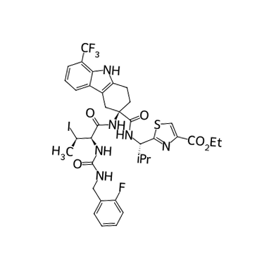 CCOC(=O)c1csc([C@@H](NC(=O)[C@@]2(NC(=O)[C@@H](NC(=O)NCc3ccccc3F)[C@@H](C)I)CCc3[nH]c4c(C(F)(F)F)cccc4c3C2)C(C)C)n1